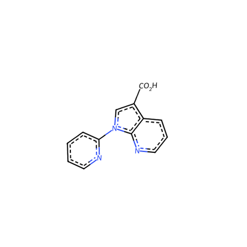 O=C(O)c1cn(-c2ccccn2)c2ncccc12